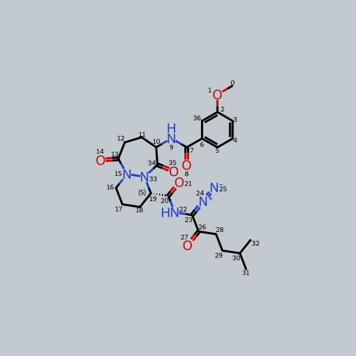 COc1cccc(C(=O)NC2CCC(=O)N3CCC[C@@H](C(=O)NC(=[N+]=[N-])C(=O)CCC(C)C)N3C2=O)c1